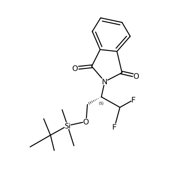 CC(C)(C)[Si](C)(C)OC[C@@H](C(F)F)N1C(=O)c2ccccc2C1=O